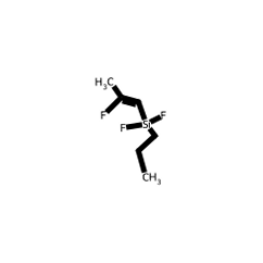 CCC[Si](F)(F)C=C(C)F